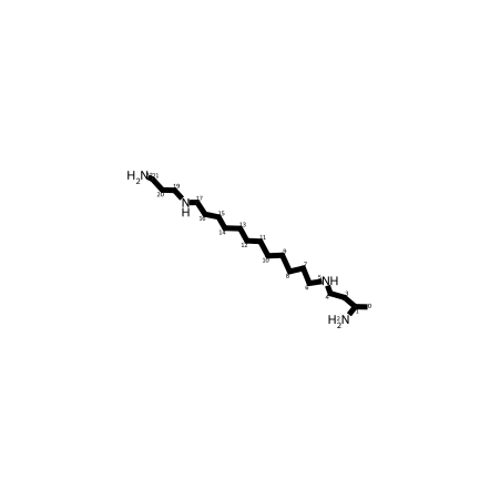 CC(N)CCNCCCCCCCCCCCCNCCCN